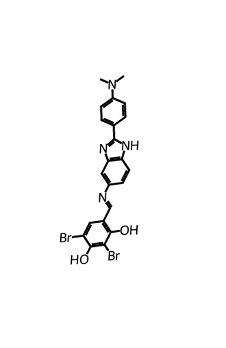 CN(C)c1ccc(-c2nc3cc(/N=C/c4cc(Br)c(O)c(Br)c4O)ccc3[nH]2)cc1